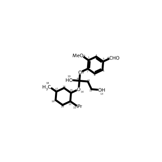 COc1cc(C=O)ccc1OC(O)(CCO)OC1CC(C)CCC1C(C)C